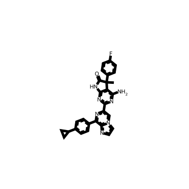 CC1(c2ccc(F)cc2)C(=O)Nc2nc(-c3cn4ccnc4c(-c4ccc(C5CC5)cc4)n3)nc(N)c21